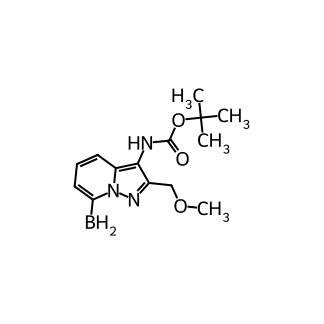 Bc1cccc2c(NC(=O)OC(C)(C)C)c(COC)nn12